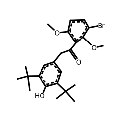 COc1ccc(Br)c(OC)c1C(=O)Cc1cc(C(C)(C)C)c(O)c(C(C)(C)C)c1